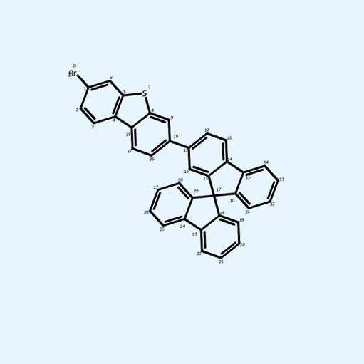 Brc1ccc2c(c1)sc1cc(-c3ccc4c(c3)C3(c5ccccc5-c5ccccc53)c3ccccc3-4)ccc12